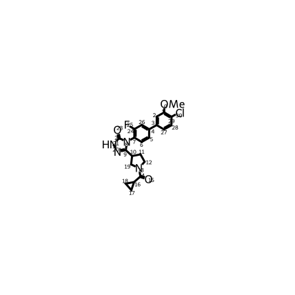 COc1cc(-c2ccc(-n3c(C4CCN(C(=O)C5CC5)C4)n[nH]c3=O)c(F)c2)ccc1Cl